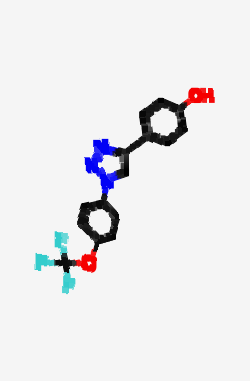 Oc1ccc(-c2cn(-c3ccc(OC(F)(F)F)cc3)nn2)cc1